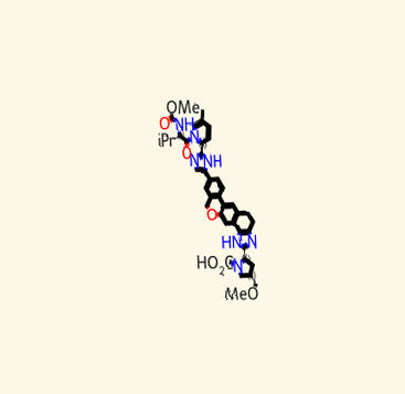 COC[C@H]1C[C@@H](c2nc3c([nH]2)-c2cc4c(cc2CC3)-c2ccc(-c3cnc([C@@H]5C=CC(C)=CN5C(=O)[C@@H](NC(=O)OC)C(C)C)[nH]3)cc2CO4)N(C(=O)O)C1